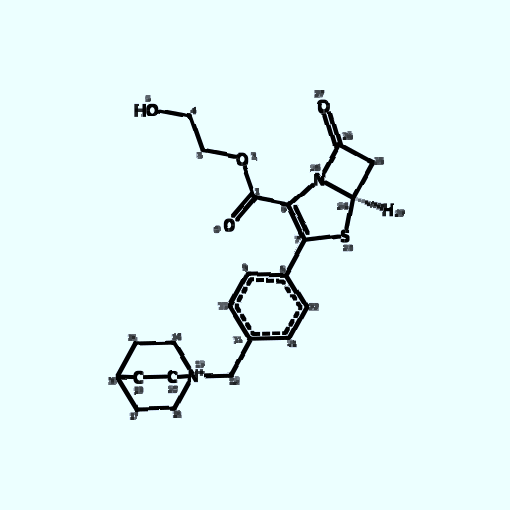 O=C(OCCO)C1=C(c2ccc(C[N+]34CCC(CC3)CC4)cc2)S[C@@H]2CC(=O)N12